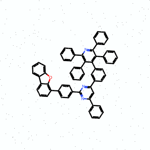 c1ccc(-c2cc(-c3cccc(-c4c(-c5ccccc5)c(-c5ccccc5)nc(-c5ccccc5)c4-c4ccccc4)c3)nc(-c3ccc(-c4cccc5c4oc4ccccc45)cc3)n2)cc1